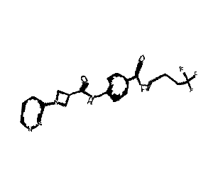 O=C(NCCC(F)(F)F)c1ccc(NC(=O)C2CN(c3cccnn3)C2)cc1